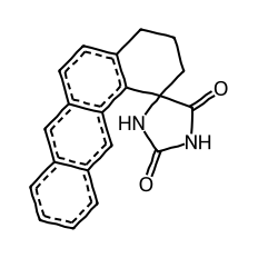 O=C1NC(=O)C2(CCCc3ccc4cc5ccccc5cc4c32)N1